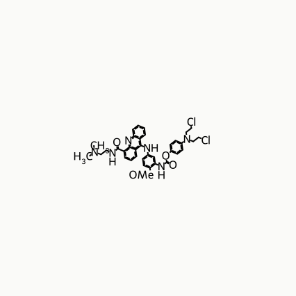 COc1ccc(Nc2c3ccccc3nc3c(C(=O)NCCN(C)C)cccc23)cc1NC(=O)Oc1ccc(N(CCCl)CCCl)cc1